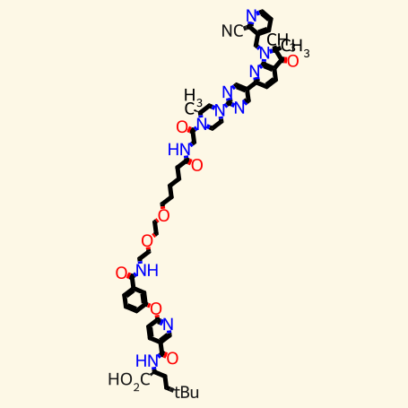 C[C@@H]1CN(c2ncc(-c3ccc4c(n3)N(Cc3cccnc3C#N)C(C)(C)C4=O)cn2)CCN1C(=O)CNC(=O)CCCCCOCCOCCNC(=O)c1cccc(Oc2ccc(C(=O)N[C@@H](CCC(C)(C)C)C(=O)O)cn2)c1